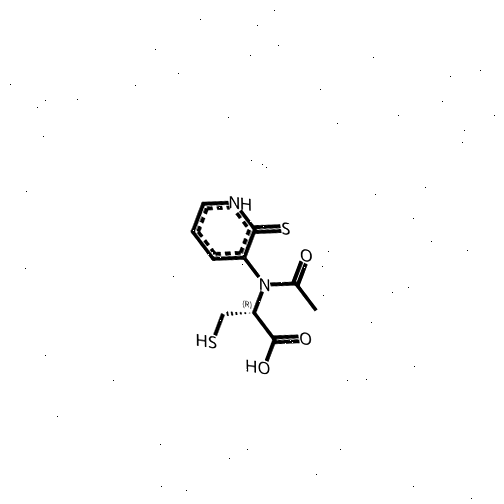 CC(=O)N(c1ccc[nH]c1=S)[C@@H](CS)C(=O)O